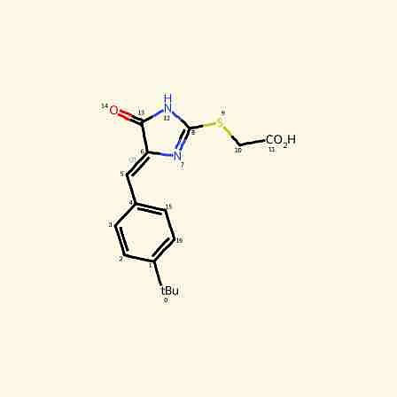 CC(C)(C)c1ccc(/C=C2\N=C(SCC(=O)O)NC2=O)cc1